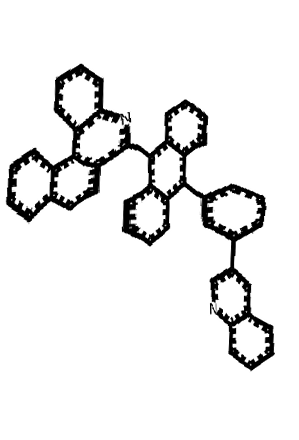 c1cc(-c2cnc3ccccc3c2)cc(-c2c3ccccc3c(-c3nc4ccccc4c4c3ccc3ccccc34)c3ccccc23)c1